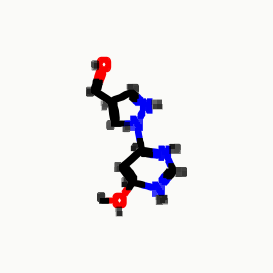 COc1cc(-n2cc(C=O)cn2)ncn1